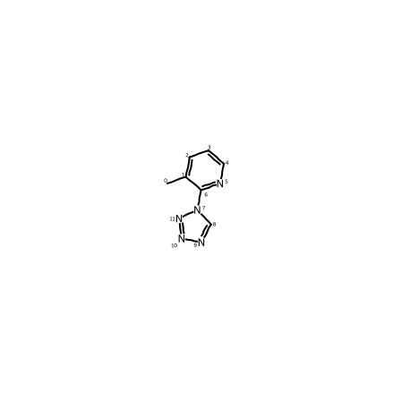 Cc1cccnc1-n1cnnn1